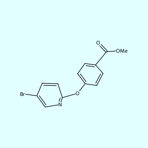 COC(=O)c1ccc(Oc2ccc(Br)cn2)cc1